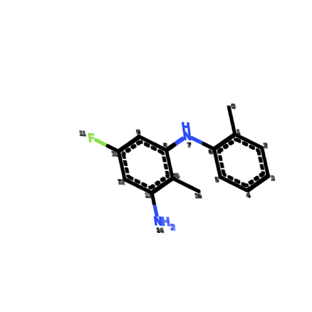 Cc1ccccc1Nc1cc(F)cc(N)c1C